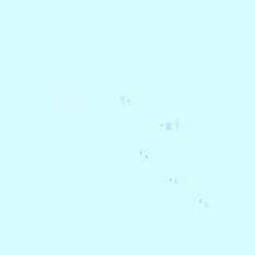 Cl.Clc1ccc(OCc2ccccc2)c(Cc2nc(-c3nc4nc(N5CCCC5)ccc4[nH]3)cs2)c1